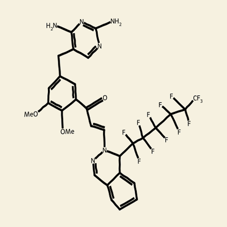 COc1cc(Cc2cnc(N)nc2N)cc(C(=O)C=CN2N=Cc3ccccc3C2C(F)(F)C(F)(F)C(F)(F)C(F)(F)C(F)(F)C(F)(F)F)c1OC